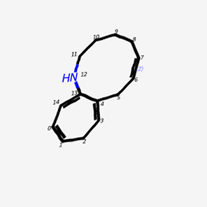 C1=CCC=C2C/C=C\CCCCNC2=C1